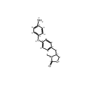 CN1C(=O)OCC1Cc1ccc(Oc2ccc(N)cc2)cc1